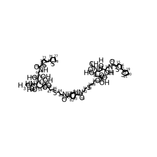 CC(=O)N[C@H]1[C@H]([C@H](O)[C@H](O)CNC(=O)c2ccc(-c3cccs3)s2)O[C@@](OCCCSCCNC(=O)c2ccc(C(=O)NCCSCCCO[C@]3(C(=O)O)C[C@H](O)[C@@H](NC(C)=O)[C@H]([C@H](O)[C@@H](O)CNC(=O)c4ccc(-c5cccs5)s4)O3)cc2)(C(=O)O)C[C@@H]1O